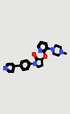 CN1CCN(c2cccnc2OC2CCN(c3ccc(-c4ccncc4)cc3)C2=O)CC1